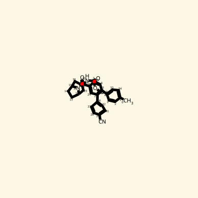 Cc1ccc(-c2ccc(C(=O)N3C4CCC3CC(NC(=O)OC(C)(C)C)C4)cc2-c2ccc(C#N)cc2)cc1